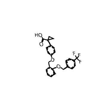 O=C(O)C1(c2ccc(OCc3ccccc3OCc3ccc(C(F)(F)F)cc3)cc2)CC1